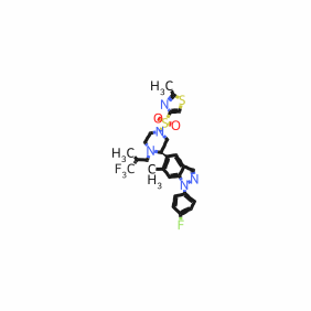 Cc1nc(S(=O)(=O)N2CCN(CC(C)C(F)(F)F)[C@H](c3cc4cnn(-c5ccc(F)cc5)c4cc3C)C2)cs1